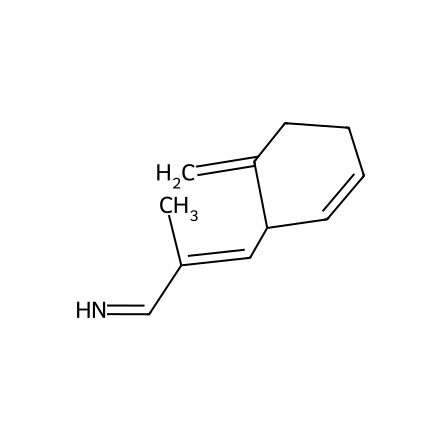 C=C1CCC=CC1/C=C(\C)C=N